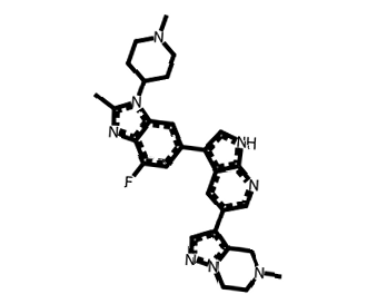 Cc1nc2c(F)cc(-c3c[nH]c4ncc(-c5cnn6c5CN(C)CC6)cc34)cc2n1C1CCN(C)CC1